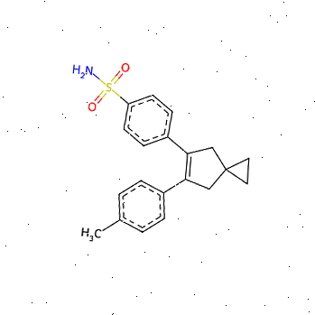 Cc1ccc(C2=C(c3ccc(S(N)(=O)=O)cc3)CC3(CC3)C2)cc1